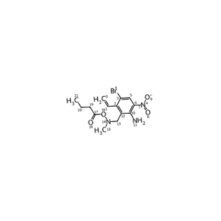 C=Cc1c(Br)cc([N+](=O)[O-])c(N)c1CN(C)OC(=O)CCC